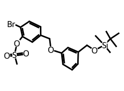 CC(C)(C)[Si](C)(C)OCc1cccc(OCc2ccc(Br)c(OS(C)(=O)=O)c2)c1